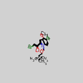 COc1c(Br)ccc2c1cc(C(=O)CBr)n2COCC[Si](C)(C)C